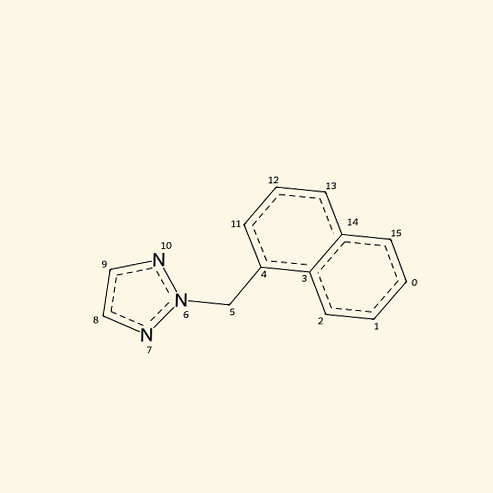 c1ccc2c(Cn3nccn3)cccc2c1